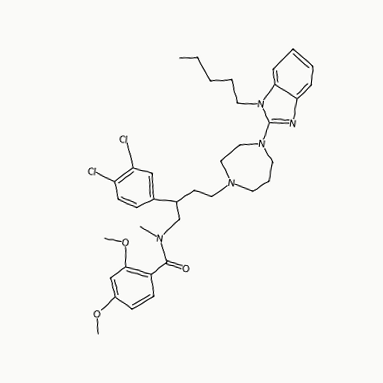 CCCCCn1c(N2CCCN(CCC(CN(C)C(=O)c3ccc(OC)cc3OC)c3ccc(Cl)c(Cl)c3)CC2)nc2ccccc21